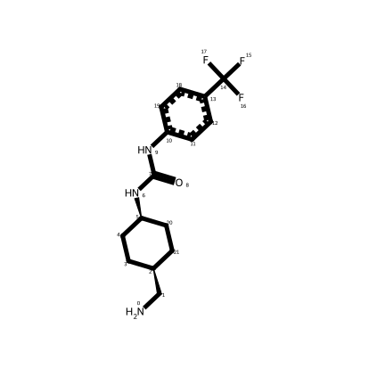 NC[C@H]1CC[C@@H](NC(=O)Nc2ccc(C(F)(F)F)cc2)CC1